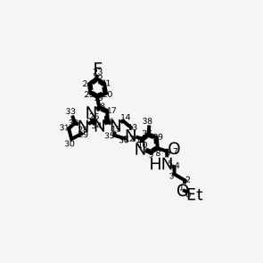 CCOCCCNC(=O)c1cnc(N2CCN(c3cc(-c4ccc(F)cc4)nc(N4CCCC4C)n3)CC2)c(C)c1